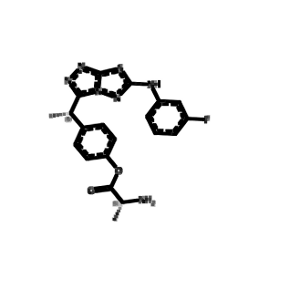 C[C@@H](c1ccc(OC(=O)[C@@H](C)N)cc1)c1nnc2sc(Nc3cccc(F)c3)nn12